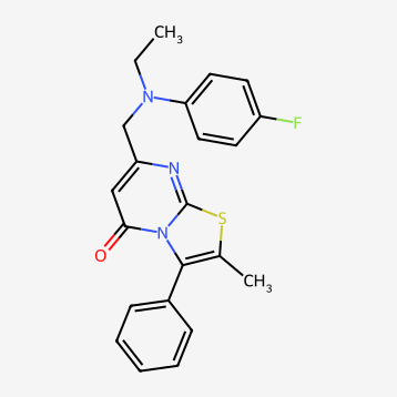 CCN(Cc1cc(=O)n2c(-c3ccccc3)c(C)sc2n1)c1ccc(F)cc1